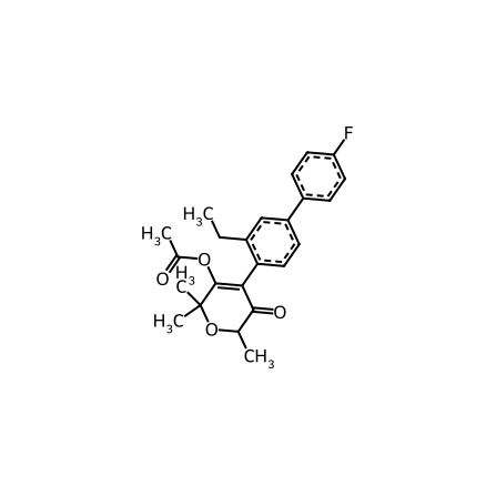 CCc1cc(-c2ccc(F)cc2)ccc1C1=C(OC(C)=O)C(C)(C)OC(C)C1=O